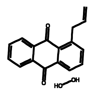 C=CCc1cccc2c1C(=O)c1ccccc1C2=O.OO